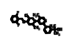 CC1=CC(OCc2c(F)cccc2F)=C(Cl)CN1c1cc(N2C=CC=C(C(C)(C)O)C2)ncc1C